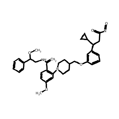 C=C(NCC(OC)c1ccccc1)c1ccc(OC)cc1N1CCC(COc2cccc(C(CC(=O)N=O)C3CC3)c2)CC1